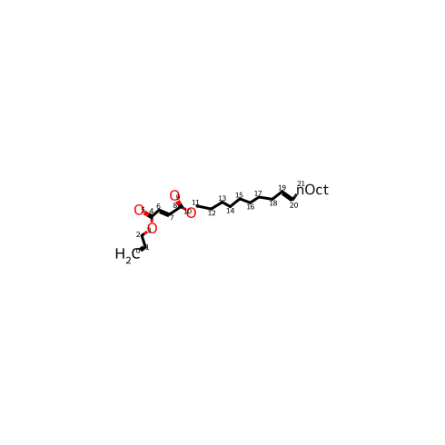 C=CCOC(=O)C=CC(=O)OCCCCCCCCC=CCCCCCCCC